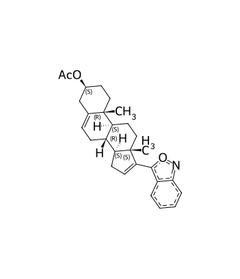 CC(=O)O[C@H]1CC[C@@]2(C)C(=CC[C@@H]3[C@@H]2CC[C@]2(C)C(c4onc5ccccc45)=CC[C@@H]32)C1